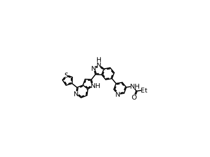 CCC(=O)Nc1cncc(-c2ccc3[nH]nc(-c4cc5c(-c6ccsc6)nccc5[nH]4)c3c2)c1